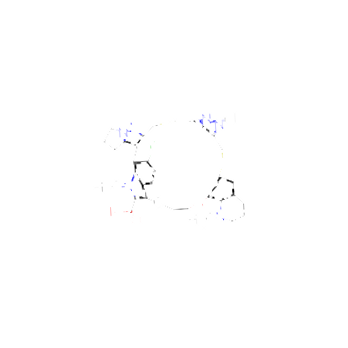 CN1CCCc2cc3cc(c21)OCCCc1c(C(=O)O)n(C)c2c(c(Cl)ccc12)-c1c(nn2c1CCC2)CSCc1cc(n(C)n1)CS3